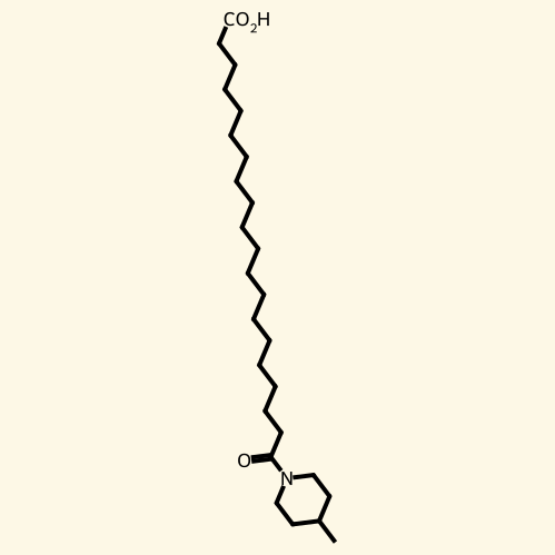 CC1CCN(C(=O)CCCCCCCCCCCCCCCCCCC(=O)O)CC1